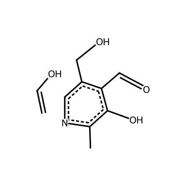 C=CO.Cc1ncc(CO)c(C=O)c1O